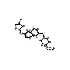 CC1CCC(Oc2ccc3cc(CN4CCC(C(=O)O)CC4)ccc3c2)C1